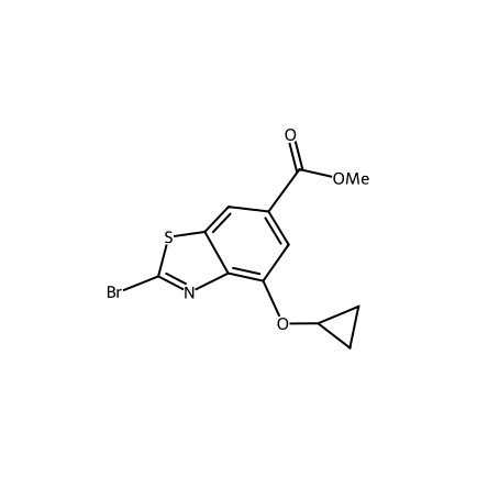 COC(=O)c1cc(OC2CC2)c2nc(Br)sc2c1